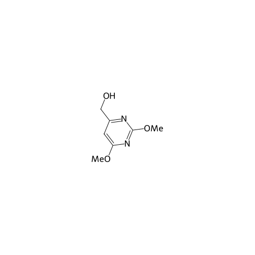 COc1cc(CO)nc(OC)n1